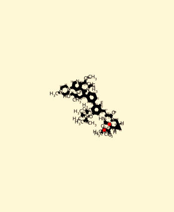 CCn1c(-c2cc(N3CCN(C)CC3)cnc2[C@H](C)OC)c(CC(C)(C)CO)c2cc(-c3cc(O[Si](C(C)C)(C(C)C)C(C)C)cc(C[C@H](NC(=O)OC(C)(C)C)C(=O)N4C[C@@H]5C[C@@H]5[C@@H](C(=O)OC)N4)c3F)ccc21